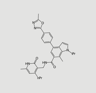 CCCc1cc(C)[nH]c(=O)c1CNC(=O)c1cc(-c2ccc(-c3nnc(C)o3)cc2)c2ccn(C(C)C)c2c1C